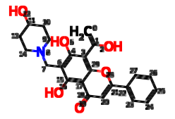 C=C(O)c1c(O)c(CN2CCC(O)CC2)c(O)c2c(=O)cc(-c3ccccc3)oc12